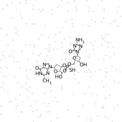 Cc1nc2c(ncn2[C@H]2C[C@@H](OP(=O)(S)OC[C@H]3O[C@@H](n4cnc(N)nc4=O)C[C@H]3O)[C@@H](CO)O2)c(=O)[nH]1